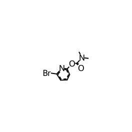 CN(C)C(=O)Oc1cccc(Br)n1